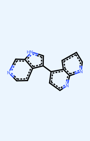 c1cnc2nccc(-c3c[nH]c4cnccc34)c2c1